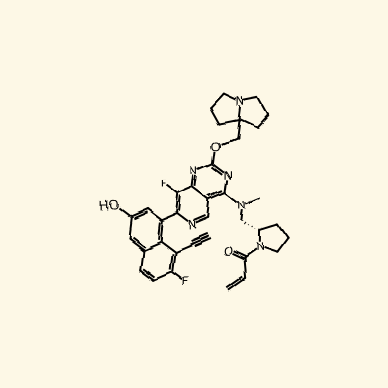 C#Cc1c(F)ccc2cc(O)cc(-c3ncc4c(N(C)C[C@@H]5CCCN5C(=O)C=C)nc(OCC56CCCN5CCC6)nc4c3F)c12